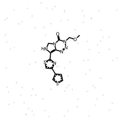 COCN1N=NC2=C(c3nc(-c4ccsc4)cs3)NCN2C1=O